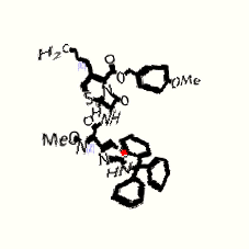 C=C/C=C/C1=C(C(=O)OCc2ccc(OC)cc2)N2C(=O)[C@@H](NC(=O)/C(=N\OC)c3csc(NC(c4ccccc4)(c4ccccc4)c4ccccc4)n3)[C@@H]2SC1